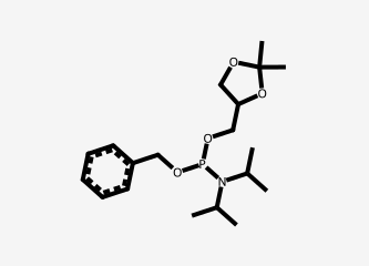 CC(C)N(C(C)C)P(OCc1ccccc1)OCC1COC(C)(C)O1